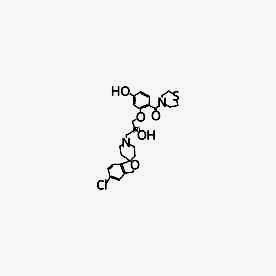 O=C(c1ccc(O)cc1OC[C@H](O)CN1CCC2(CC1)OCc1cc(Cl)ccc12)N1CCSCC1